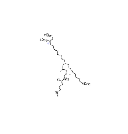 CCCCCCCCCCCCCCCCCCC(CCCCCCC/C=C(/CCCCCCCCCC)CCCCCCCCCCC)CC(C)CC(C)CNC(=O)CCCN(C)C